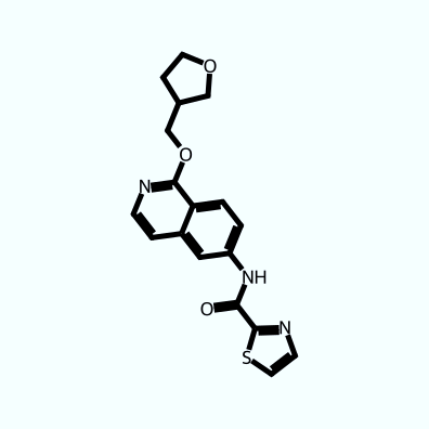 O=C(Nc1ccc2c(OCC3CCOC3)nccc2c1)c1nccs1